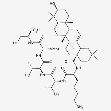 CCCCC[C@H](NC(=O)[C@@H](NC(=O)[C@@H](NC(=O)[C@H](CCCCN)NC(=O)[C@]12CCC(C)(C)CC1C1=CCC3[C@@]4(C)CC[C@H](O)C(C)(C)C4CC[C@@]3(C)[C@]1(C)CC2)[C@@H](C)O)[C@@H](C)O)C(=O)N[C@@H](CO)C(=O)O